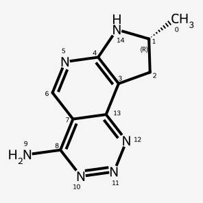 C[C@@H]1Cc2c(ncc3c(N)nnnc23)N1